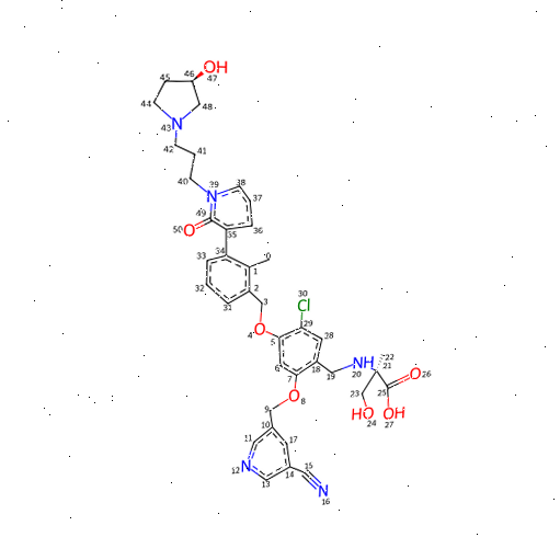 Cc1c(COc2cc(OCc3cncc(C#N)c3)c(CN[C@](C)(CO)C(=O)O)cc2Cl)cccc1-c1cccn(CCCN2CC[C@@H](O)C2)c1=O